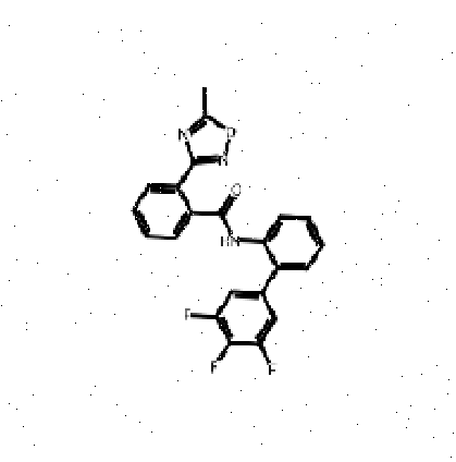 Cc1nc(-c2ccccc2C(=O)Nc2ccccc2-c2cc(F)c(F)c(F)c2)no1